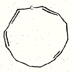 [C]1=CCC=CCCC=CCCCC=C1